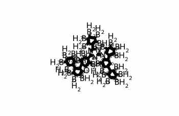 Bc1c(B)c(B)c(-c2nc(-c3c(B)c(C)c4c(oc5c(B)c(B)c(B)c(-c6c(B)c(B)c(B)c(B)c6B)c54)c3B)nc(-n3c4c(B)c(B)c(-c5c(B)c(B)c(B)c(B)c5B)cc4c4c(B)c(B)c(B)c(B)c43)n2)c(B)c1B